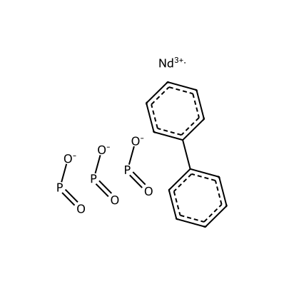 O=P[O-].O=P[O-].O=P[O-].[Nd+3].c1ccc(-c2ccccc2)cc1